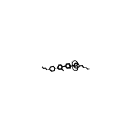 CCCCCC1COC(c2ccc(-c3ccc([C@H]4CC[C@H](CCCC)CC4)cc3C)cc2)OC1